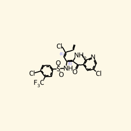 C=C/C(Cl)=C\C(NS(=O)(=O)c1ccc(Cl)c(C(F)(F)F)c1)=C(/N)C(=O)c1cc(Cl)cnc1C